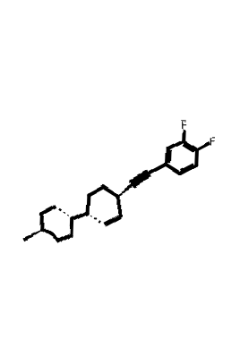 C[C@H]1CC[C@H]([C@H]2CC[C@H](C#Cc3ccc(F)c(F)c3)CC2)CC1